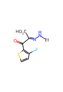 CCNN=C(C(=O)O)C(=O)c1sccc1F